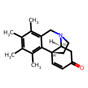 Cc1c(C)c(C)c2c(c1C)CN1CC[C@@]23C=CC(=O)C[C@H]13